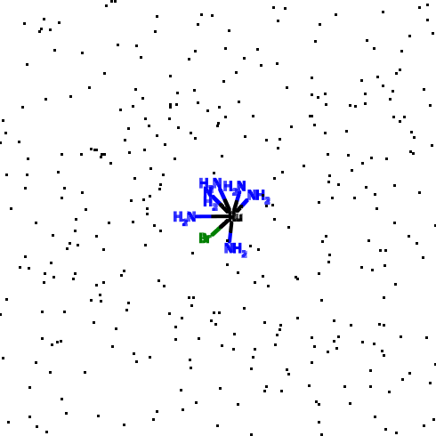 [NH2][Ru]([NH2])([NH2])([NH2])([NH2])([NH2])[Br]